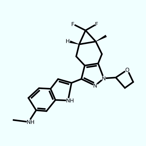 CNc1ccc2cc(-c3nn(C4CCO4)c4c3C[C@@H]3C(F)(F)[C@]3(C)C4)[nH]c2c1